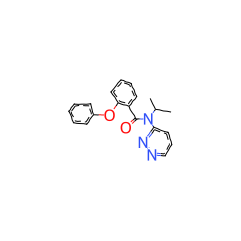 CC(C)N(C(=O)c1ccccc1Oc1ccccc1)c1cccnn1